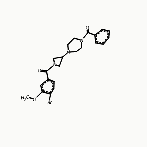 COc1cc(C(=O)N2CC(N3CCN(C(=O)c4ccccc4)CC3)C2)ccc1Br